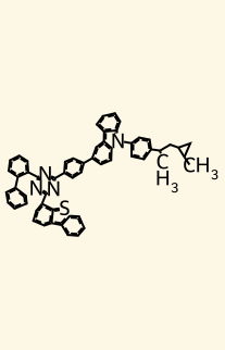 CC(CC1CC1C)c1ccc(-n2c3ccccc3c3cc(-c4ccc(-c5nc(-c6ccccc6-c6ccccc6)nc(-c6cccc7c6sc6ccccc67)n5)cc4)ccc32)cc1